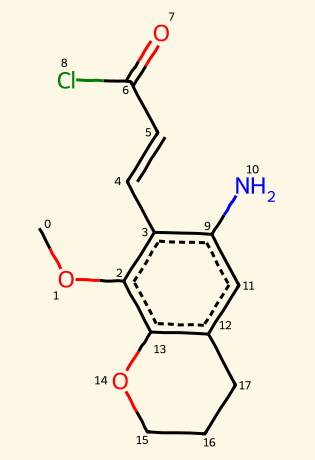 COc1c(/C=C/C(=O)Cl)c(N)cc2c1OCCC2